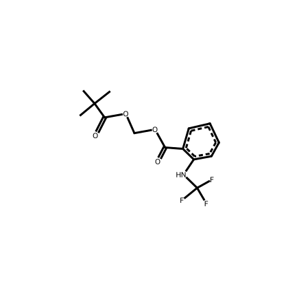 CC(C)(C)C(=O)OCOC(=O)c1ccccc1NC(F)(F)F